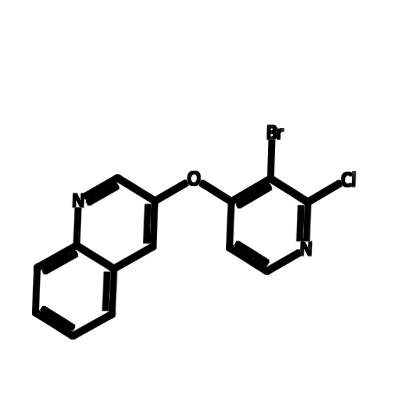 Clc1nccc(Oc2cnc3ccccc3c2)c1Br